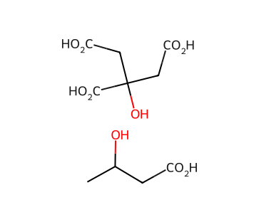 CC(O)CC(=O)O.O=C(O)CC(O)(CC(=O)O)C(=O)O